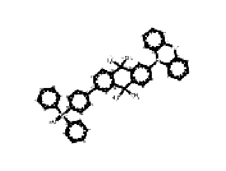 CC1(C)c2ccc(N3c4ccccc4Sc4ccccc43)cc2C(C)(C)c2ccc(-c3ccc(P(=O)(c4ccccc4)c4ccccc4)cc3)cc21